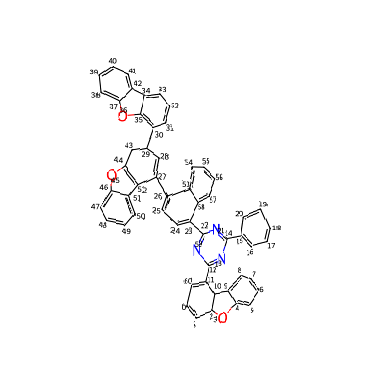 C1=CC2Oc3ccccc3C2C(c2nc(-c3ccccc3)nc(-c3ccc(C4=CC(c5cccc6c5oc5ccccc56)Cc5oc6ccccc6c54)c4ccccc34)n2)=C1